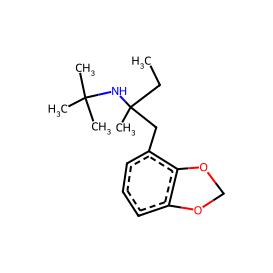 CCC(C)(Cc1cccc2c1OCO2)NC(C)(C)C